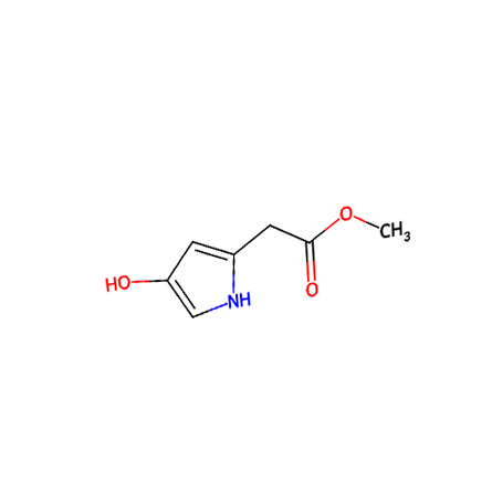 COC(=O)Cc1cc(O)c[nH]1